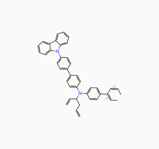 C=CCC(C=C)N(c1ccc(C(/C=C\C)=C/C)cc1)c1ccc(-c2ccc(-n3c4ccccc4c4ccccc43)cc2)cc1